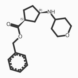 O=C(OCc1ccccc1)[C@H]1CC[C@@H](NC2CCOCC2)C1